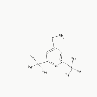 [2H]C([2H])([2H])c1cc(CN)cc(C([2H])([2H])[2H])n1